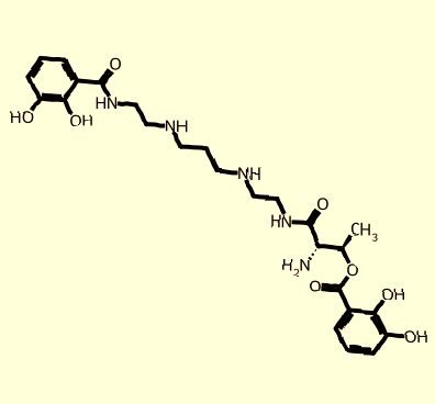 C[C@@H](OC(=O)c1cccc(O)c1O)[C@H](N)C(=O)NCCNCCCNCCNC(=O)c1cccc(O)c1O